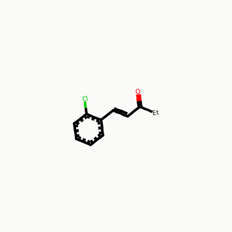 CCC(=O)C=Cc1ccccc1Cl